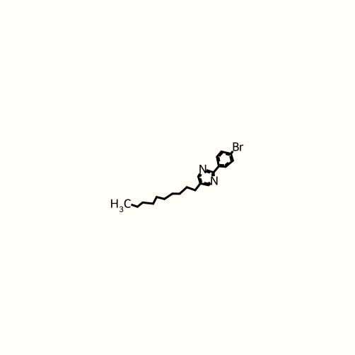 CCCCCCCCCCc1cnc(-c2ccc(Br)cc2)nc1